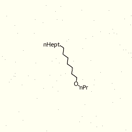 [CH2]CCOCCCCCCCCCCCCCC